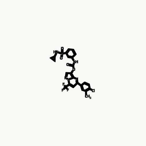 Cc1cc(-c2cc(C(F)(F)F)n3ncc(OC(=O)Nc4cccc(S(=O)(=O)NC5CC5)c4)c3n2)ccc1Cl